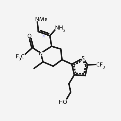 CN/C=C(\N)C1CC(c2sc(C(F)(F)F)cc2CCO)CC(C)N1C(=O)C(F)(F)F